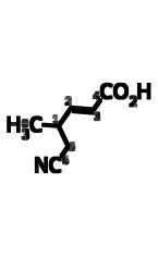 CC(C=CC(=O)O)CC#N